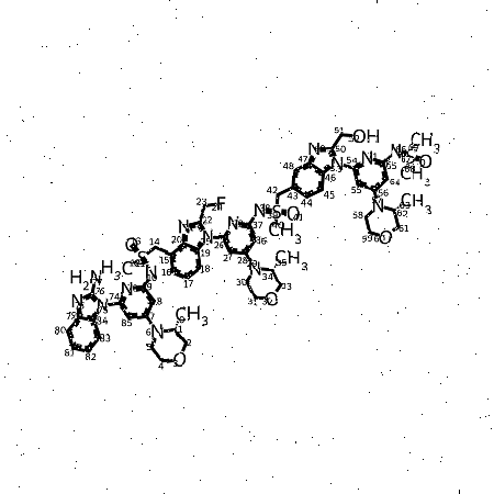 C[C@@H]1COCCN1c1cc(N=S(C)(=O)Cc2cccc3c2nc(CF)n3-c2cc(N3CCOC[C@H]3C)cc(N=S(C)(=O)Cc3ccc4c(c3)nc(CO)n4-c3cc(N4CCOC[C@H]4C)cc(N=S(C)(C)=O)n3)n2)nc(-n2c(N)nc3ccccc32)c1